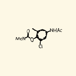 CNC(=O)Oc1c(C)cc(NC(C)=O)cc1Cl